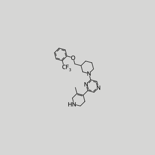 CC1=C(c2cncc(N3CCCC(COc4ccccc4C(F)(F)F)C3)n2)CCNC1